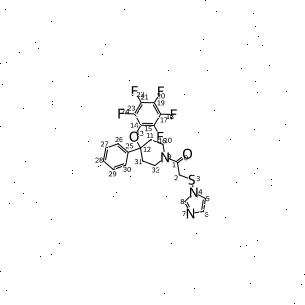 O=C(CSn1ccnc1)N1CCC(Oc2c(F)c(F)c(F)c(F)c2F)(c2ccccc2)CC1